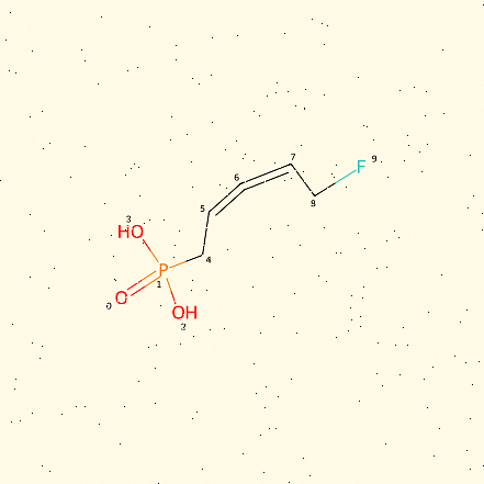 O=P(O)(O)CC=C=CCF